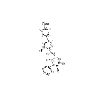 CCN(CC)C(=O)C(c1ccccc1)N1CCN(c2ccc(-c3ccc(OC)cc3)cc2F)CC1